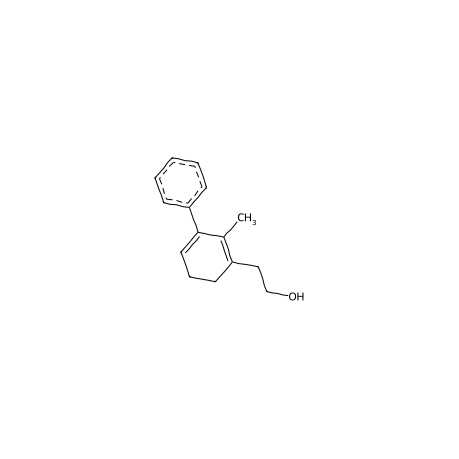 CC1=C(CCO)CCC=C1c1ccccc1